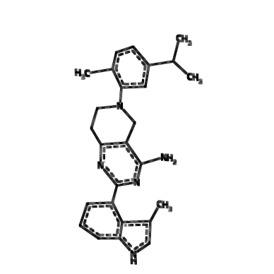 Cc1ccc(C(C)C)cc1N1CCc2nc(-c3cccc4[nH]cc(C)c34)nc(N)c2C1